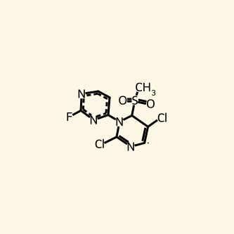 CS(=O)(=O)C1C(Cl)=[C]N=C(Cl)N1c1ccnc(F)n1